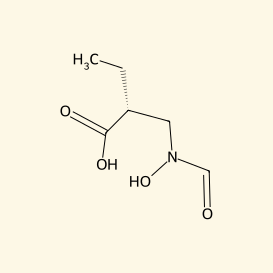 CC[C@H](CN(O)C=O)C(=O)O